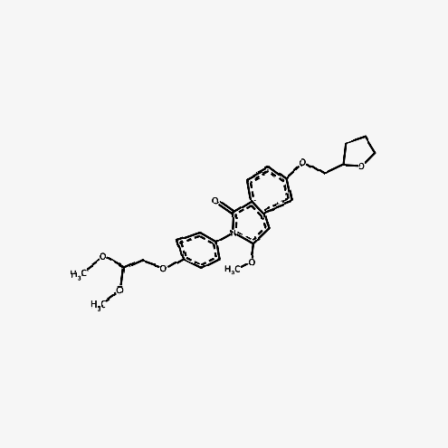 COc1cc2cc(OCC3CCCO3)ccc2c(=O)n1-c1ccc(OCC(OC)OC)cc1